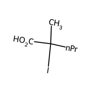 CCCC(C)(I)C(=O)O